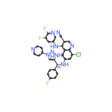 N#Cc1cnc2c(Cl)cc(N[C@H](C3=CN(c4ccncc4)NN3)c3ccc(F)cc3)cc2c1Nc1cnc(F)c(F)c1